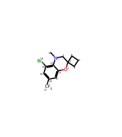 CN1CC2(CCC2)Oc2cc(C(F)(F)F)cc(Br)c21